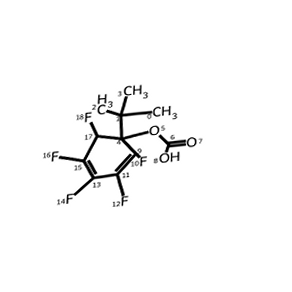 CC(C)(C)C1(OC(=O)O)C(F)=C(F)C(F)=C(F)C1F